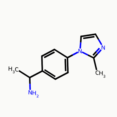 Cc1nccn1-c1ccc(C(C)N)cc1